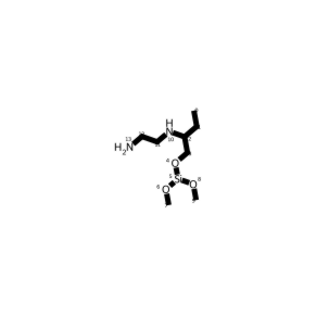 CCC(CO[Si](OC)OC)NCCN